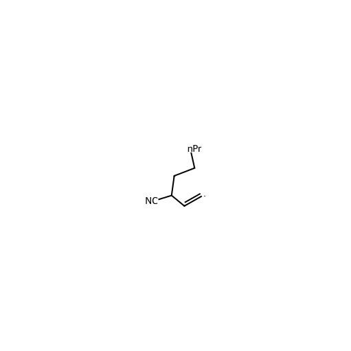 [CH]=CC(C#N)CCCCC